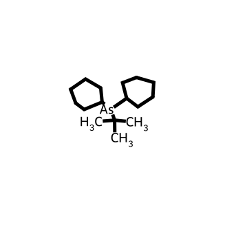 CC(C)(C)[As](C1CCCCC1)C1CCCCC1